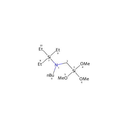 CCCCN(C[Si](OC)(OC)OC)[Si](CC)(CC)CC